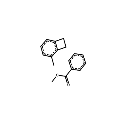 COC(=O)c1ccccc1.Cc1cccc2c1CC2